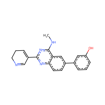 CNc1nc(C2=CCCN=C2)nc2ccc(-c3cccc(O)c3)cc12